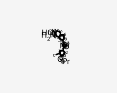 Cc1cc(-c2nc(-c3ccc4c(c3)CC(N)(CO)CC4)no2)ccc1OC(C)C